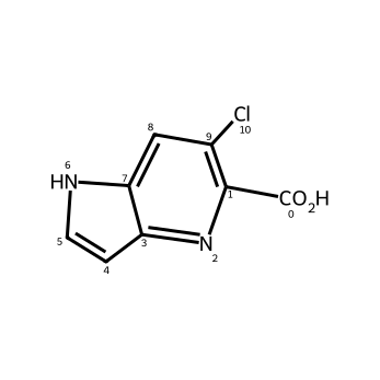 O=C(O)c1nc2cc[nH]c2cc1Cl